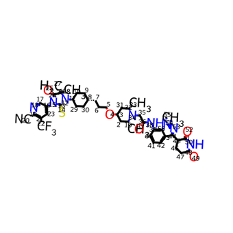 C[C@@H]1CC(OCCC[C@H]2CC[C@H](N3C(=S)N(c4cnc(C#N)c(C(F)(F)F)c4)C(=O)C3(C)C)CC2)C[C@H](C)N1CC(=O)Nc1cccc2c(C3CCC(=O)NC3=O)nn(C)c12